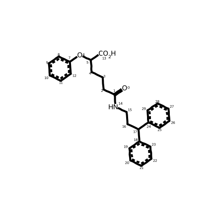 O=C(CCCC(Oc1ccccc1)C(=O)O)NCCC(c1ccccc1)c1ccccc1